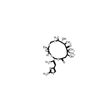 CC[C@@]12CCCC(C)[C@H](O)C(C)C(=O)C(C)(C)C(O)CC(=O)O[C@H](/C(C)=C/c3csc(C)n3)C[C@@H]1O2